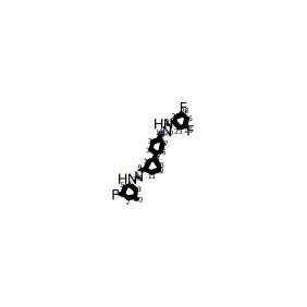 Cc1cc(F)cc(N/N=C/c2cccc(-c3ccc(/C=N/Nc4cc(F)cc(F)c4)cc3)c2)c1